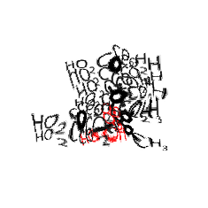 Cc1ccc(C(OCC(O)CO)(C(=O)OC(=O)c2c(C(=O)O)c(C(=O)O)c(C(=O)O)c(C(=O)O)c2C(=O)O)c2ccc(C)cc2)cc1.O=C(O)c1c(C(=O)O)c(C(=O)O)c(C(=O)O)c(C(=O)O)c1C(=O)O.O=C(O)c1c(C(=O)O)c(C(=O)O)c(C(=O)O)c(C(=O)O)c1C(=O)O